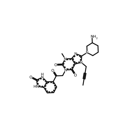 CC#CCn1c(N2CCCC(N)C2)nc2c1c(=O)n(CC(=O)c1cccc3[nH]c(=O)[nH]c13)c(=O)n2C